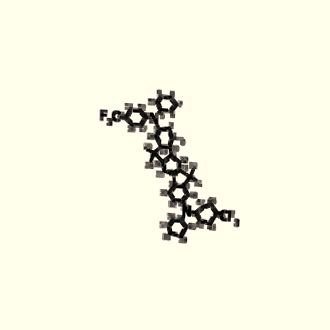 Cc1cc(N(c2ccccc2)c2ccc(C(F)(F)F)cc2)cc2c1-c1cc3c(cc1C2(C)C)-c1ccc(N(c2ccccc2)c2ccc(C(F)(F)F)cc2)cc1C3(C)C